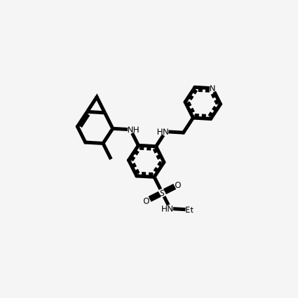 CCNS(=O)(=O)c1ccc(NC2C(C)CC=C3CC32)c(NCc2ccncc2)c1